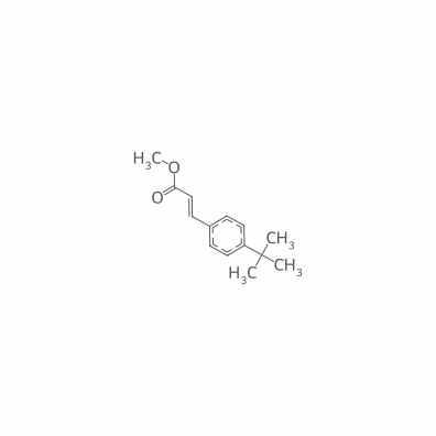 COC(=O)/C=C/c1ccc(C(C)(C)C)cc1